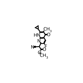 COC(=O)C(C#N)c1nc2[nH]c(C3CC3)c(C)c(=O)c2cc1F